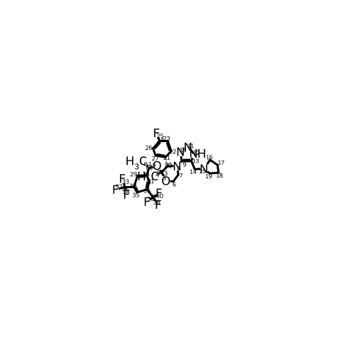 C[C@@H](O[C@@]1(C)OCCN(c2nn[nH]c2CN2CCCC2)[C@H]1c1ccc(F)cc1)c1cc(C(F)(F)F)cc(C(F)(F)F)c1